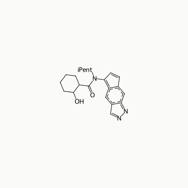 CCCC(C)N(C(=O)C1CCCCC1O)C1=c2cc3c(cc2C=C1)=NN=C3